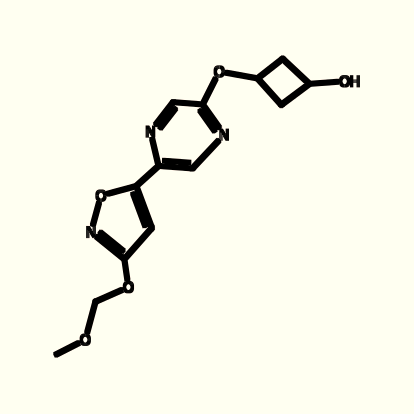 COCOc1cc(-c2cnc(OC3CC(O)C3)cn2)on1